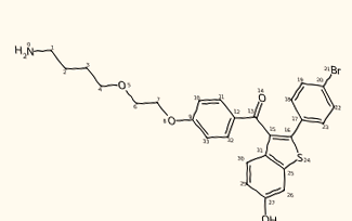 NCCCCOCCOc1ccc(C(=O)c2c(-c3ccc(Br)cc3)sc3cc(O)ccc23)cc1